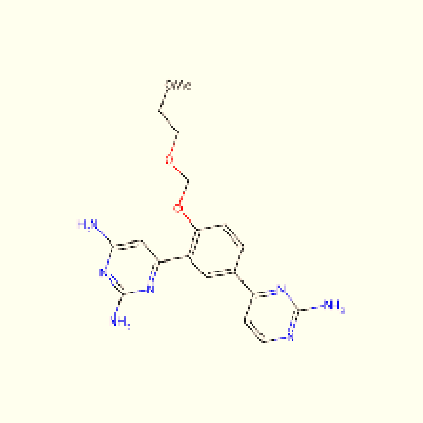 COCCOCOc1ccc(-c2ccnc(N)n2)cc1-c1cc(N)nc(N)n1